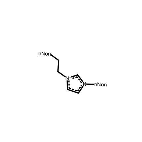 CCCCCCCCCCC[n+]1ccn(CCCCCCCCC)c1